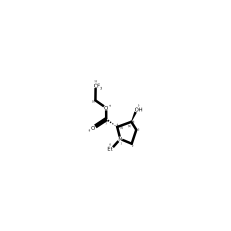 CCN1CC[C@H](O)[C@H]1C(=O)OCC(F)(F)F